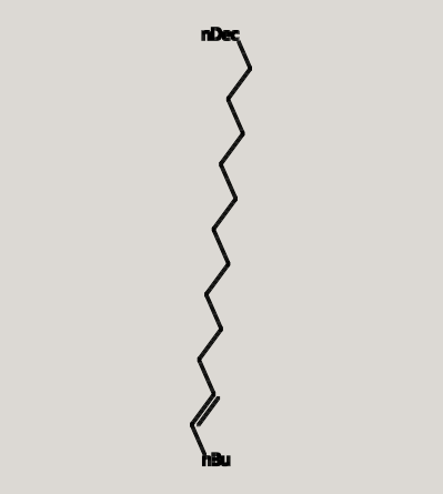 [CH2]CCCC=CCCCCCCCCCCCCCCCCCCC[CH2]